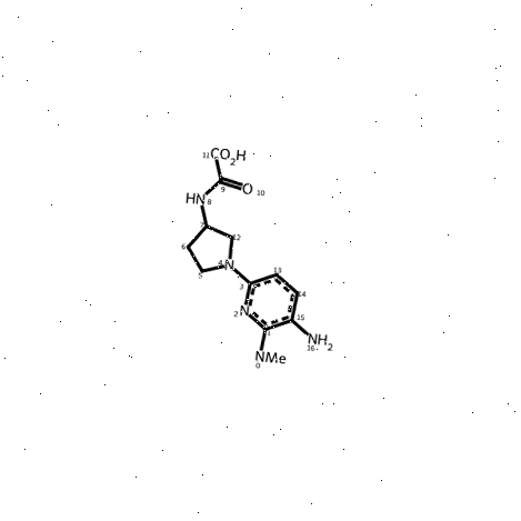 CNc1nc(N2CCC(NC(=O)C(=O)O)C2)ccc1N